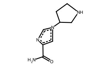 NC(=O)c1cn(C2CCNC2)cn1